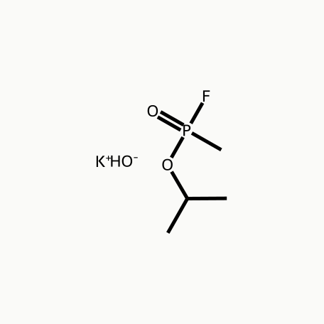 CC(C)OP(C)(=O)F.[K+].[OH-]